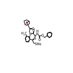 CSCC1=N[C@H](NC(=O)OCc2ccccc2)C(=O)N(CC(=O)N2CC3CCC(CC3)C2)c2c(C)cccc21